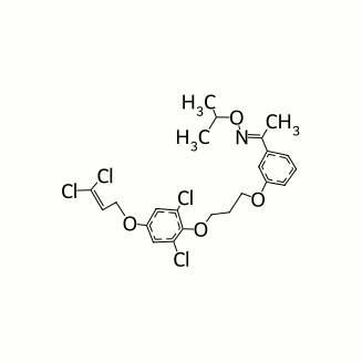 CC(=NOC(C)C)c1cccc(OCCCOc2c(Cl)cc(OCC=C(Cl)Cl)cc2Cl)c1